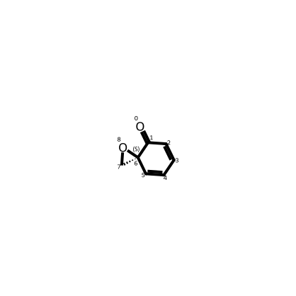 O=C1C=CC=C[C@]12CO2